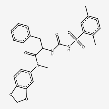 Cc1ccc(C)c(S(=O)(=O)NC(=O)NC(Cc2ccccc2)C(=O)N(C)c2ccc3c(c2)OCO3)c1